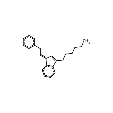 CCCCCCC1=CC(=CCc2ccccc2)c2ccccc21